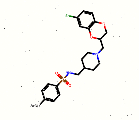 CC(=O)Nc1ccc(S(=O)(=O)NCC2CCN(CC3COc4ccc(Br)cc4O3)CC2)cc1